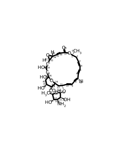 C[C@@H]1C/C=C/C=C/C=C/C=C/[C@H](O[C@@H]2O[C@H](C)[C@@H](O)[C@H](N)[C@@H]2O)C[C@@H]2O[C@](O)(C[C@@H](O)C[C@H]3O[C@@H]3/C=C/C(=O)O1)C[C@H](O)[C@H]2C(=O)O.[Ni]